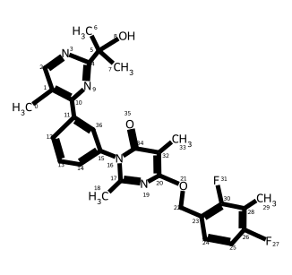 Cc1cnc(C(C)(C)O)nc1-c1cccc(-n2c(C)nc(OCc3ccc(F)c(C)c3F)c(C)c2=O)c1